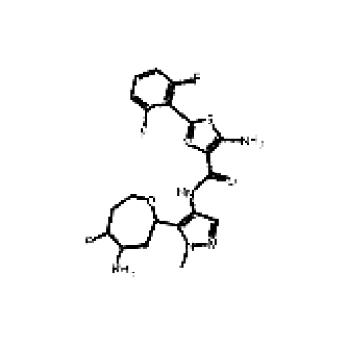 Cn1ncc(NC(=O)c2nc(-c3c(F)cccc3F)sc2N)c1C1CC(N)C(F)CCO1